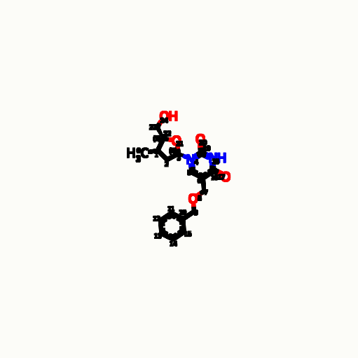 CC1C[C@H](n2cc(COCc3ccccc3)c(=O)[nH]c2=O)O[C@@H]1CO